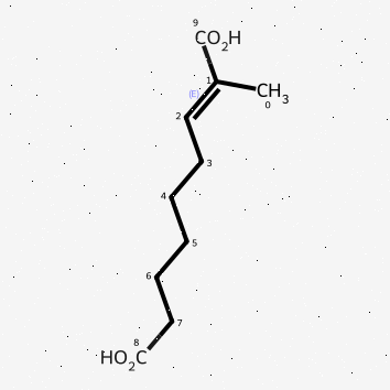 C/C(=C\CCCCCC(=O)O)C(=O)O